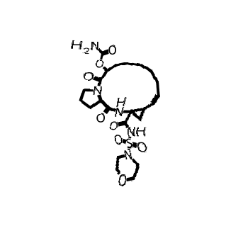 NC(=O)OC1CCCCCC=CC2CC2(C(=O)NS(=O)(=O)N2CCOCC2)NC(=O)C2CCCN2C1=O